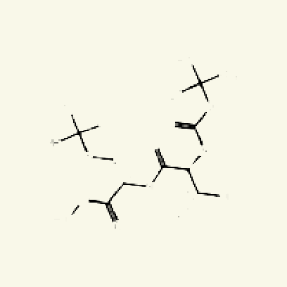 [2H]C([2H])([2H])SC[C@H](NC(=O)[C@@H](NC(=O)OC(C)(C)C)[C@@H](C)O)C(=O)OC